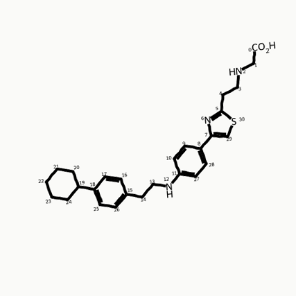 O=C(O)CNCCc1nc(-c2ccc(NCCc3ccc(C4CCCCC4)cc3)cc2)cs1